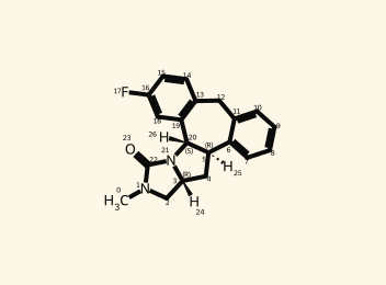 CN1C[C@H]2C[C@@H]3c4ccccc4Cc4ccc(F)cc4[C@H]3N2C1=O